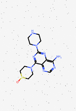 Nc1ncnc2c(N3CC[S+]([O-])CC3)nc(N3CCNCC3)nc12